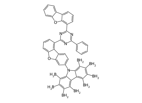 Bc1c(B)c(B)c2c(c1B)c1c(B)c(B)c(B)c(B)c1n2-c1ccc2c(c1)oc1cccc(-c3nc(-c4ccccc4)nc(-c4cccc5c4oc4ccccc45)n3)c12